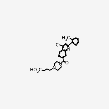 Cc1ccccc1-c1cc(Cl)c2ccc(C(=O)N3CCN(CCCC(=O)O)CC3)cc2n1